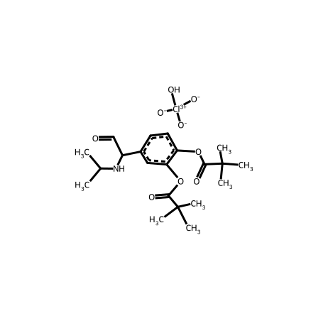 CC(C)NC(C=O)c1ccc(OC(=O)C(C)(C)C)c(OC(=O)C(C)(C)C)c1.[O-][Cl+3]([O-])([O-])O